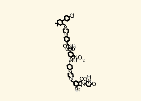 CC1(C)CCC(c2ccc(Cl)cc2)=C(CN2CCN(c3ccc(C(=O)NS(=O)(=O)c4ccc(NC[C@H]5CC[C@H](N6CCN(Cc7cc(Br)c8c(c7)C(=O)N(C7CCC(=O)NC7=O)C8)CC6)CC5)c([N+](=O)[O-])c4)cc3)CC2)C1